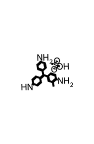 CS(=O)(=O)O.Cc1cc(C(=C2C=CC(=N)C=C2)c2ccc(N)cc2)ccc1N